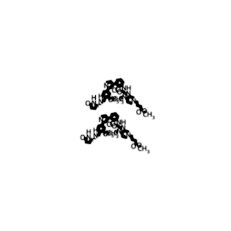 COC(=O)CCCN1CCc2c(nc(C(=O)Nc3cccc(-c4ccnc(-c5ccc(CNC[C@@H]6CCC(=O)N6)c(OC)c5)c4Cl)c3Cl)n2C)C1.COC(=O)CCCN1CCc2c(nc(C(=O)Nc3cccc(-c4ccnc(-c5ccc(CNC[C@@H]6CCC(=O)N6)c(OC)c5)c4Cl)c3Cl)n2C)C1